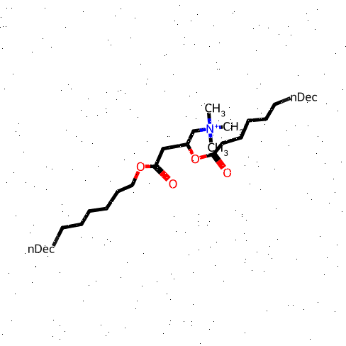 CCCCCCCCCCCCCCCCOC(=O)CC(C[N+](C)(C)C)OC(=O)CCCCCCCCCCCCCCC